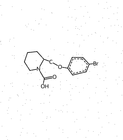 O=C(O)N1CCCCC1COc1ccc(Br)cc1